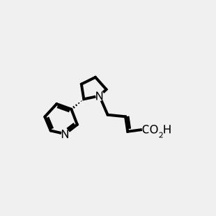 O=C(O)C=CCN1CCC[C@H]1c1cccnc1